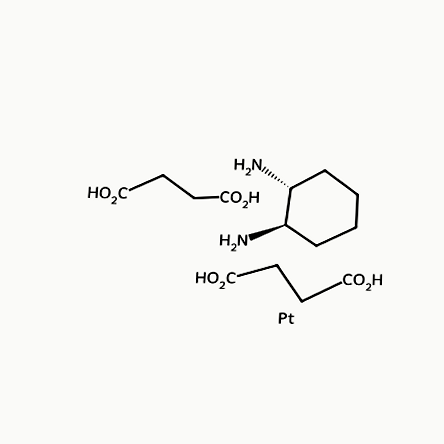 N[C@@H]1CCCC[C@H]1N.O=C(O)CCC(=O)O.O=C(O)CCC(=O)O.[Pt]